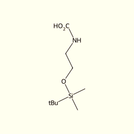 CC(C)(C)[Si](C)(C)OCCNC(=O)O